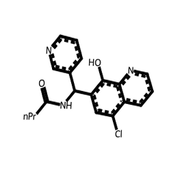 CCCC(=O)NC(c1cccnc1)c1cc(Cl)c2cccnc2c1O